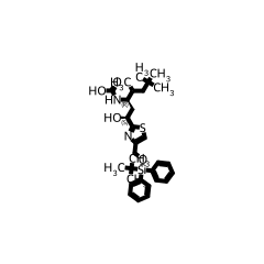 CC(CC(C)(C)C)[C@@H](C[C@H](O)c1nc(CO[Si](c2ccccc2)(c2ccccc2)C(C)(C)C)cs1)NC(=O)O